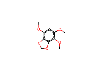 COc1cc(OC)c2c(c1OC)OCO2